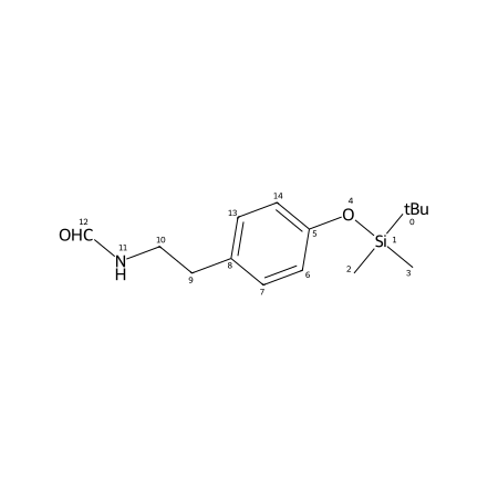 CC(C)(C)[Si](C)(C)Oc1ccc(CCNC=O)cc1